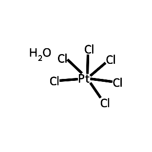 O.[Cl][Pt]([Cl])([Cl])([Cl])([Cl])[Cl]